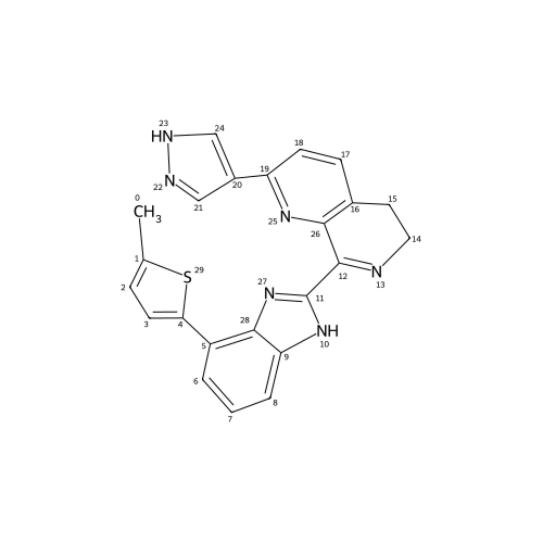 Cc1ccc(-c2cccc3[nH]c(C4=NCCc5ccc(-c6cn[nH]c6)nc54)nc23)s1